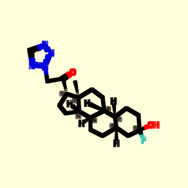 C[C@]12CC[C@H]3[C@@H](CC[C@@H]4C[C@@](O)(F)CC[C@@H]43)[C@@H]1CC[C@@H]2C(=O)Cn1ncnn1